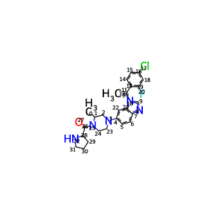 CC1CN(c2ccc3ncn([C@H](C)c4ccc(Cl)cc4F)c3c2)CCN1C(=O)C1CCCN1